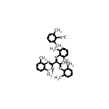 CC(=Nc1c(C)cccc1C)C(=Nc1c(C)cccc1C)[C](=Nc1c(C)cccc1C)[Ni][I].[C-]#[N+]c1c(C)cccc1C